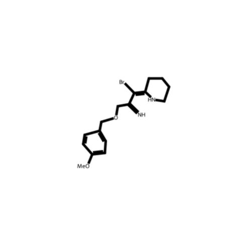 COc1ccc(COCC(=N)/C(Br)=C2/CCCCN2)cc1